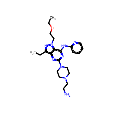 CCOCCn1nc(CC)c2nc(N3CCN(CCN)CC3)nc(Nc3ccccn3)c21